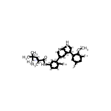 COc1c(F)cc(F)cc1-c1c[nH]c2ncc(-c3cc(NC(=O)/C(C)=C/C(C)(C)C)ccc3F)cc12